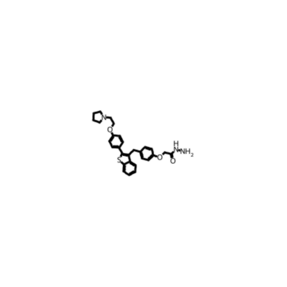 NNC(=O)COc1ccc(Cc2c(-c3ccc(OCCN4CCCC4)cc3)sc3ccccc23)cc1